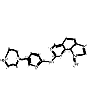 CC(C)n1cnc2ccc3cnc(Nc4ccc(N5CCNCC5)cn4)nc3c21